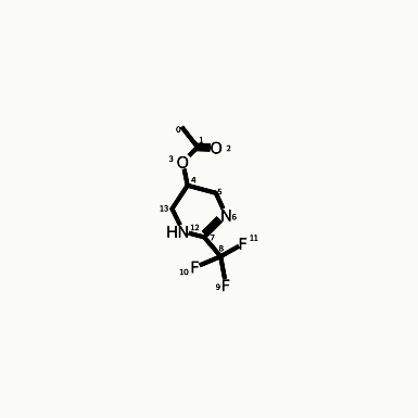 CC(=O)OC1CN=C(C(F)(F)F)NC1